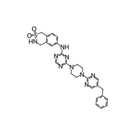 O=S1(=O)Cc2ccc(Nc3ncnc(N4CCN(c5ncc(Cc6ccccc6)cn5)CC4)n3)cc2CN1